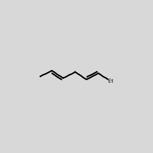 C/C=C/[CH]C=CCC